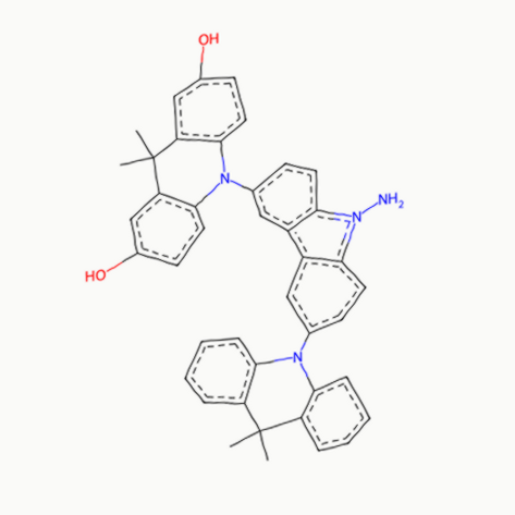 CC1(C)c2ccccc2N(c2ccc3c(c2)c2cc(N4c5ccc(O)cc5C(C)(C)c5cc(O)ccc54)ccc2n3N)c2ccccc21